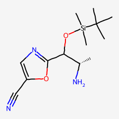 C[C@H](N)C(O[Si](C)(C)C(C)(C)C)c1ncc(C#N)o1